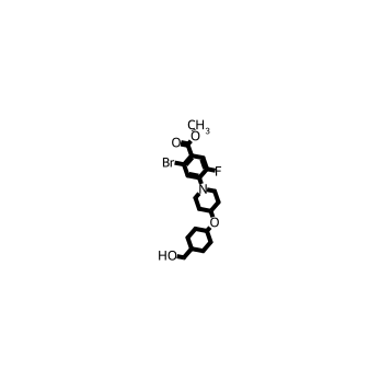 COC(=O)c1cc(F)c(N2CCC(OC3CCC(CO)CC3)CC2)cc1Br